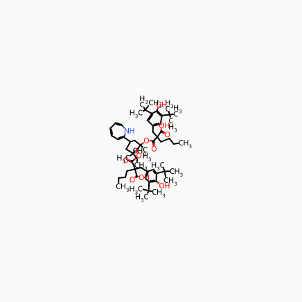 CCCCC(Cc1cc(C(C)(C)C)c(O)c(C(C)(C)C)c1)(C(=O)O)C(=O)OCC(C)(CC(CC(C)(C)CC)C1=CC=CC=CN1)OC(=O)C(CCCC)(Cc1cc(C(C)(C)C)c(O)c(C(C)(C)C)c1)C(=O)O